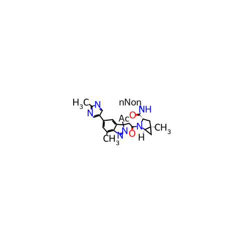 CCCCCCCCCNC(=O)[C@@H]1C[C@@]2(C)C[C@H]2N1C(=O)CC1(C(C)=O)N=Nc2c(C)cc(-c3cnc(C)nc3)cc21